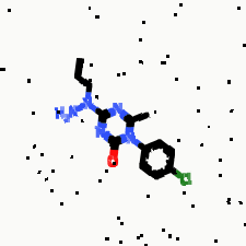 C=CCN(N)c1nc(C)n(-c2ccc(Cl)cc2)c(=O)n1